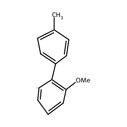 COc1ccc[c]c1-c1ccc(C)cc1